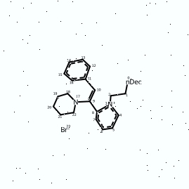 CCCCCCCCCCCC[n+]1ccccc1C(=Cc1ccccc1)N1CCCCC1.[Br-]